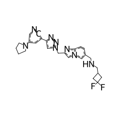 FC1(F)CC(CNCc2ccc3nc(Cn4cc(-c5cncc(N6CCCC6)c5)nn4)cn3c2)C1